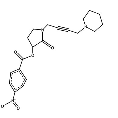 O=C(OC1CCN(CC#CCN2CCCCC2)C1=O)c1ccc([N+](=O)[O-])cc1